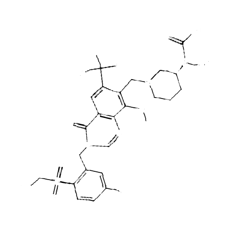 CCS(=O)(=O)c1ccc(Cl)cc1Cn1cnc2c(OC)c(CN3CCC[C@H](N(C)C(=O)O)C3)c(C(F)(F)F)cc2c1=O